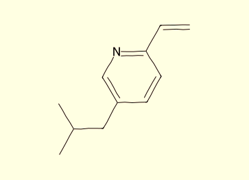 C=Cc1ccc(CC(C)C)cn1